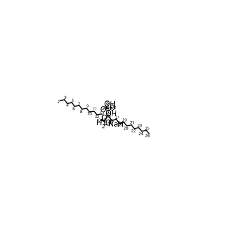 C=C.CCCCCCCCCCCCOCCCCCCCCCCCC.O.O=S(=O)(O)O.[NaH]